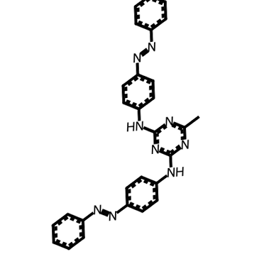 Cc1nc(Nc2ccc(N=Nc3ccccc3)cc2)nc(Nc2ccc(N=Nc3ccccc3)cc2)n1